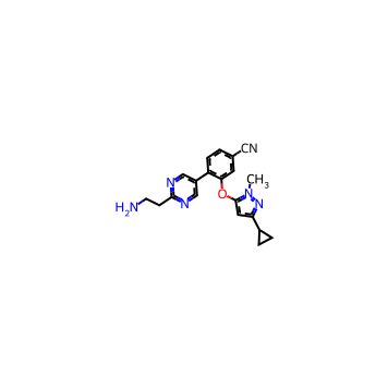 Cn1nc(C2CC2)cc1Oc1cc(C#N)ccc1-c1cnc(CCN)nc1